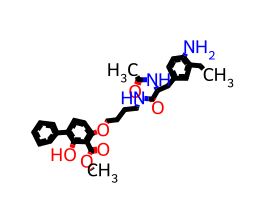 CCc1cc(CC(NC(C)=O)C(=O)NCCCCOc2ccc(-c3ccccc3)c(O)c2C(=O)OC)ccc1N